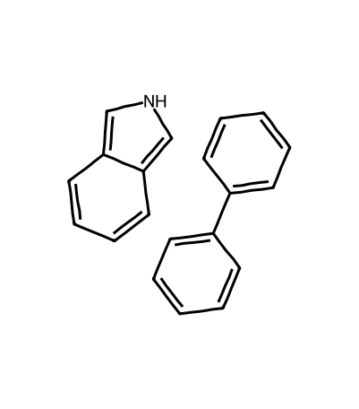 c1ccc(-c2ccccc2)cc1.c1ccc2c[nH]cc2c1